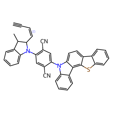 C#C/C=C\C1C(C)c2ccccc2N1c1cc(C#N)c(-n2c3ccccc3c3c4sc5ccccc5c4ccc32)cc1C#N